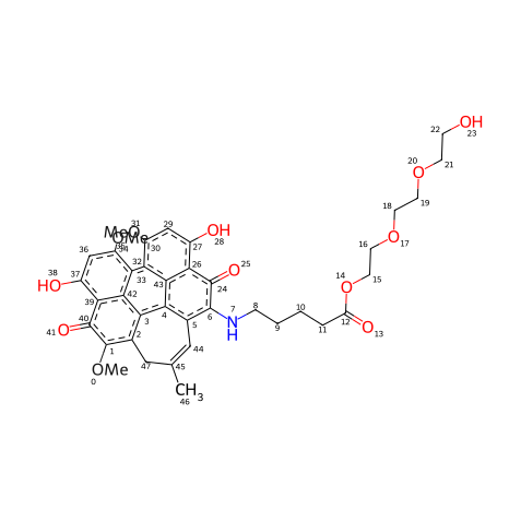 COc1c2c3c4c(c(NCCCCC(=O)OCCOCCOCCO)c(=O)c5c(O)cc(OC)c(c6c(OC)cc(O)c(c1=O)c63)c54)C=C(C)C2